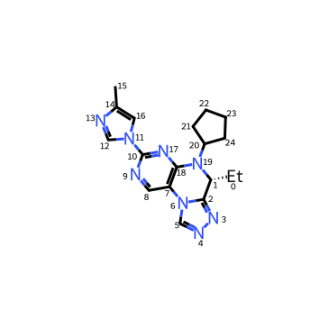 CC[C@@H]1c2nncn2-c2cnc(-n3cnc(C)c3)nc2N1C1CCCC1